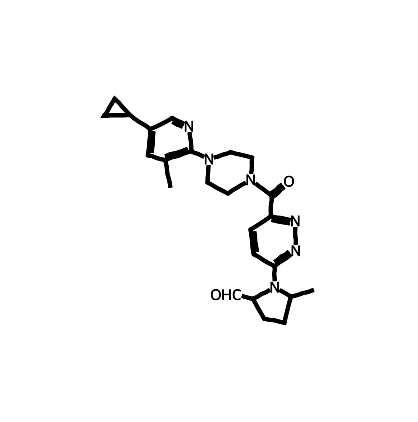 Cc1cc(C2CC2)cnc1N1CCN(C(=O)c2ccc(N3C(C)CCC3C=O)nn2)CC1